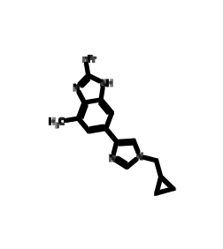 CCCc1nc2c(C)cc(-c3cn(CC4CC4)cn3)cc2[nH]1